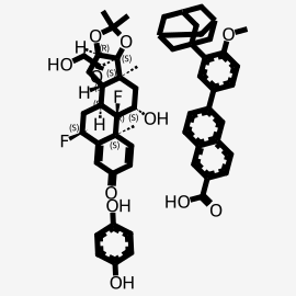 CC1(C)O[C@@H]2C[C@H]3[C@@H]4C[C@H](F)C5=CC(=O)C=C[C@]5(C)[C@@]4(F)[C@@H](O)C[C@]3(C)[C@]2(C(=O)CO)O1.COc1ccc(-c2ccc3cc(C(=O)O)ccc3c2)cc1C12CC3CC(CC(C3)C1)C2.Oc1ccc(O)cc1